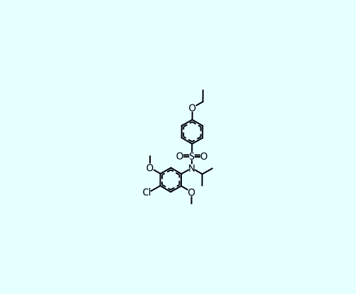 CCOc1ccc(S(=O)(=O)N(c2cc(OC)c(Cl)cc2OC)C(C)C)cc1